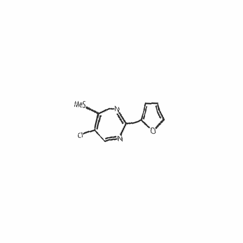 CSc1nc(-c2ccco2)ncc1Cl